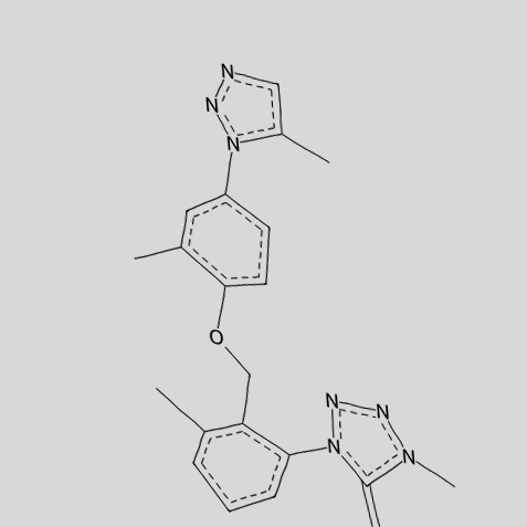 Cc1cc(-n2nncc2C)ccc1OCc1c(C)cccc1-n1nnn(C)c1=O